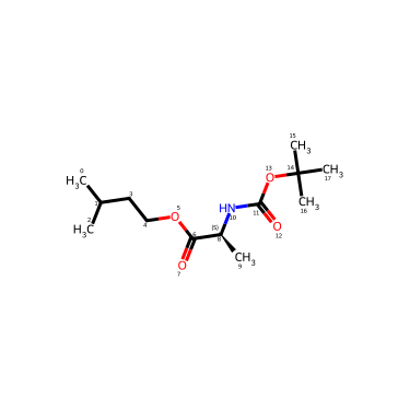 CC(C)CCOC(=O)[C@H](C)NC(=O)OC(C)(C)C